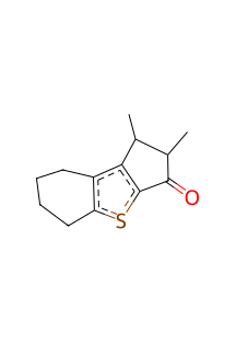 CC1C(=O)c2sc3c(c2C1C)CCCC3